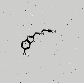 C#CCNCc1nc2ccc(C)cc2s1